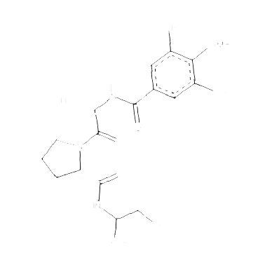 COc1c(C)cc(C(=O)N[C@@H](C)C(=O)N2CCC[C@H]2C(=O)NC(C=O)CC(=O)O)cc1C